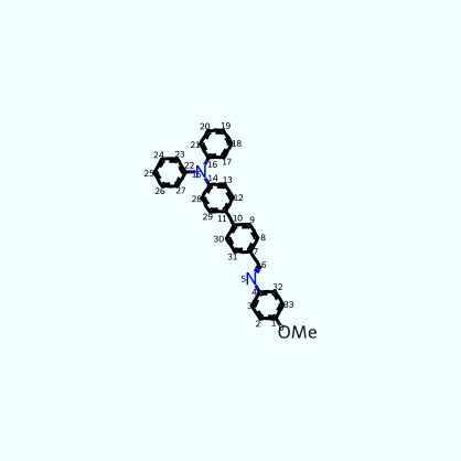 COc1ccc(N=Cc2ccc(-c3ccc(N(c4ccccc4)c4ccccc4)cc3)cc2)cc1